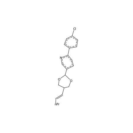 CCC/C=C/C1COC(c2ccc(-c3ccc(Cl)cc3)nc2)OC1